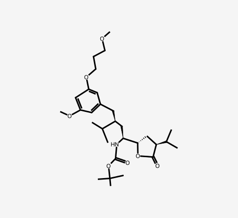 COCCCOc1cc(C[C@@H](C[C@H](NC(=O)OC(C)(C)C)[C@@H]2C[C@@H](C(C)C)C(=O)O2)C(C)C)cc(OC)c1